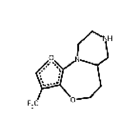 FC(F)(F)c1coc2c1OCCC1CNCCN21